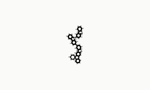 c1ccc2c(c1)-c1cc3sc4ccc(-c5ccc6c7ccccc7n(-c7ccc8sc9ccccc9c8c7)c6c5)cc4c3cc1C21CCCCC1